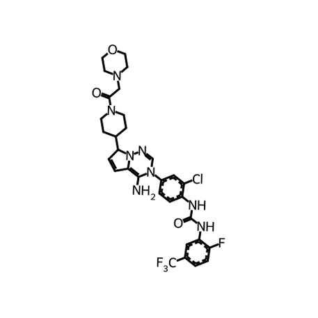 NC1=C2C=CC(C3CCN(C(=O)CN4CCOCC4)CC3)N2N=CN1c1ccc(NC(=O)Nc2cc(C(F)(F)F)ccc2F)c(Cl)c1